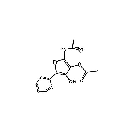 CC(=O)Nc1oc(-c2ccccn2)c(O)c1OC(C)=O